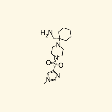 Cn1cnc(S(=O)(=O)N2CCN(C3(CN)CCCCC3)CC2)c1